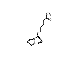 CC(=O)CCCCCc1cccc2cncn12